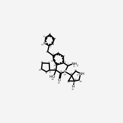 NC1c2ccc(Cc3ccccn3)cc2C(O)(C2CCCC2)C(=O)N1C12CNC[C@@H]1C2